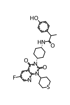 CC(C(=O)N[C@H]1CC[C@@H](n2c(=O)c3cc(F)cnc3n(C3CCSCC3)c2=O)CC1)c1ccc(O)cc1